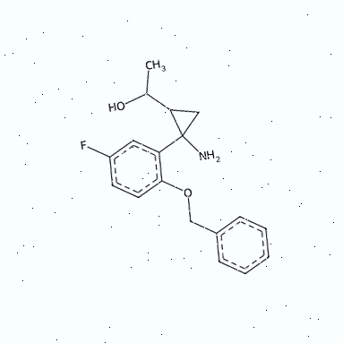 CC(O)C1CC1(N)c1cc(F)ccc1OCc1ccccc1